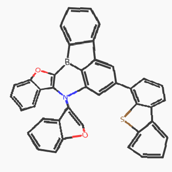 c1ccc2c(c1)B1c3oc4ccccc4c3N(c3coc4ccccc34)c3cc(-c4cccc5c4sc4ccccc45)cc-2c31